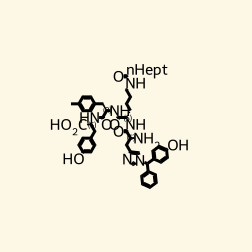 CCCCCCCC(=O)NCCCC[C@H](NC(=O)[C@@H](N)Cc1cn(C(c2ccccc2)c2ccc(O)cc2)cn1)C(=O)N[C@H](Cc1ccc(C)cc1)C(=O)N[C@@H](Cc1ccc(O)cc1)C(=O)O